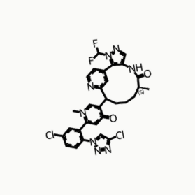 C[C@H]1CCCC(c2cn(C)c(-c3cc(Cl)ccc3-n3cc(Cl)nn3)cc2=O)c2cc(ccn2)-c2c(cnn2C(F)F)NC1=O